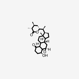 C[C@@H]([C@H]1CC[C@H]2[C@@H]3C[C@H]4O[C@@]45C(C(=O)CC[C@@H]5O)[C@H]3CC[C@]12C)[C@H]1C[C@H](C)[C@@H](C)C(=O)O1